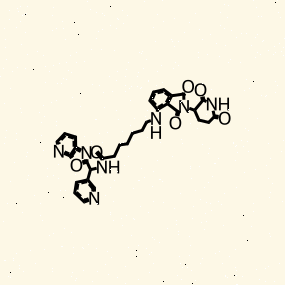 O=C1CCC(N2C(=O)c3cccc(NCCCCCCC(=O)NC(c4cccnc4)c4nc5cccnc5o4)c3C2=O)C(=O)N1